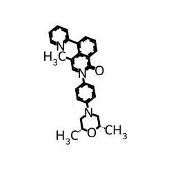 Cc1cn(-c2ccc(N3C[C@@H](C)O[C@@H](C)C3)cc2)c(=O)c2cccc(-c3ccccn3)c12